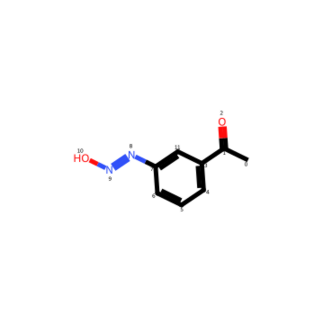 CC(=O)c1cccc(/N=N/O)c1